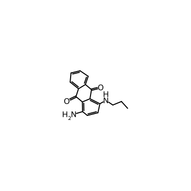 CCCNc1ccc(N)c2c1C(=O)c1ccccc1C2=O